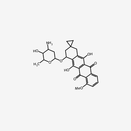 COc1cccc2c1C(=O)c1c(O)c3c(c(O)c1C2=O)CC1(CC1)CC3OC1CC(N)C(O)C(C)O1